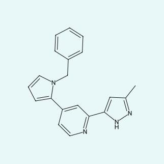 Cc1cc(-c2cc(-c3cccn3Cc3ccccc3)ccn2)[nH]n1